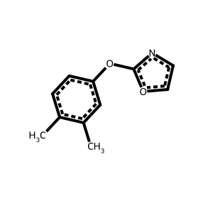 Cc1ccc(Oc2ncco2)cc1C